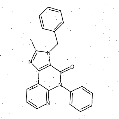 Cc1nc2c3cccnc3n(-c3ccccc3)c(=O)c2n1Cc1ccccc1